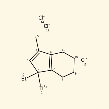 CC[C]1([Ti+3])C=C(C)C2=C1CCCC2.[Cl-].[Cl-].[Cl-]